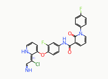 N=C/C(Cl)=C1\NC=CC=C1Oc1ccc(NC(=O)c2cccn(-c3ccc(F)cc3)c2=O)cc1F